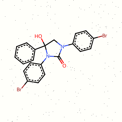 O=C1N(c2ccc(Br)cc2)CC(O)(c2ccccc2)N1c1ccc(Br)cc1